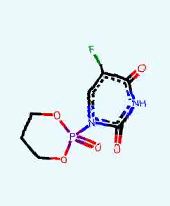 O=c1[nH]c(=O)n(P2(=O)OCCCO2)cc1F